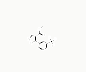 COC(=O)c1cnoc1-c1cccc(C(F)(F)F)c1